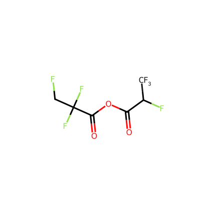 O=C(OC(=O)C(F)(F)CF)C(F)C(F)(F)F